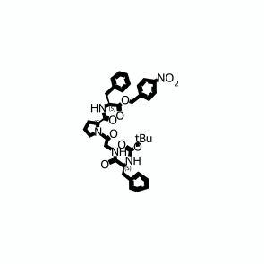 CC(C)(C)OC(=O)N[C@@H](Cc1ccccc1)C(=O)NCC(=O)N1CCC[C@H]1C(=O)N[C@@H](Cc1ccccc1)C(=O)OCc1ccc([N+](=O)[O-])cc1